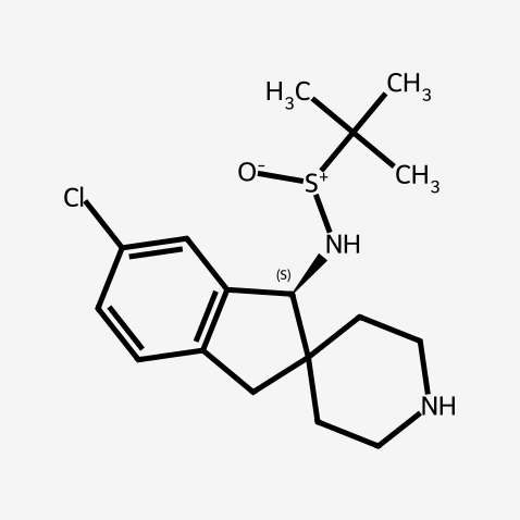 CC(C)(C)[S+]([O-])N[C@@H]1c2cc(Cl)ccc2CC12CCNCC2